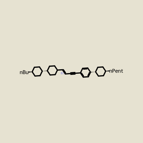 CCCCC[C@H]1CC[C@H](c2ccc(C#C/C=C/C3CCC([C@H]4CC[C@H](CCCC)CC4)CC3)cc2)CC1